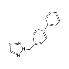 c1ccc(-c2ccc(Cn3ncnn3)cc2)cc1